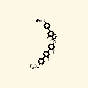 CCCCCc1ccc(-c2cc(F)c(C(F)(F)Oc3ccc(-c4ccc(-c5ccc(OC(F)(F)F)cc5)c(F)c4)c(F)c3)c(F)c2)cc1